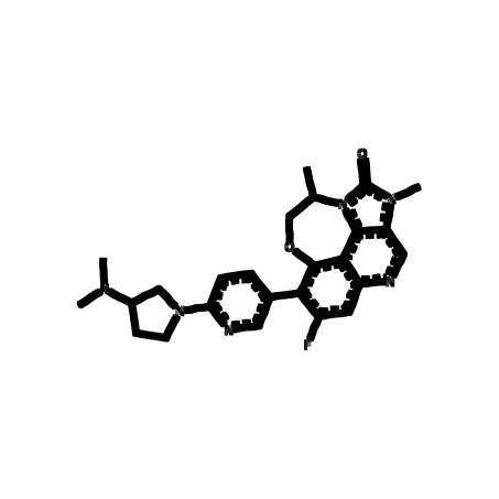 CC1COc2c(-c3ccc(N4CCC(N(C)C)C4)nc3)c(F)cc3ncc4c(c23)n1c(=O)n4C